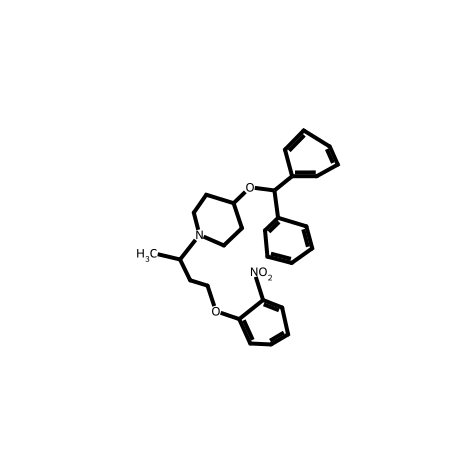 CC(CCOc1ccccc1[N+](=O)[O-])N1CCC(OC(c2ccccc2)c2ccccc2)CC1